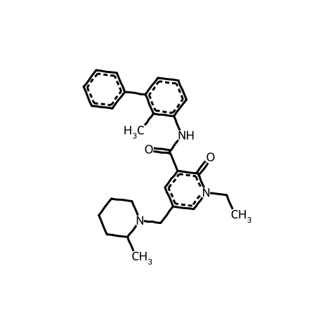 CCn1cc(CN2CCCCC2C)cc(C(=O)Nc2cccc(-c3ccccc3)c2C)c1=O